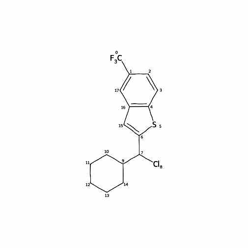 FC(F)(F)c1ccc2sc(C(Cl)C3CCCCC3)cc2c1